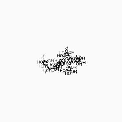 C[C@@H](CC[C@@]1(O)O[C@H]2C[C@H]3[C@@H]4CC[C@@H]5C[C@@H](O[C@@H]6O[C@H](CO[C@@H]7O[C@H](CO)[C@@H](O)[C@H](O)[C@H]7O)[C@@H](O[C@@H]7O[C@@H](C)[C@H](O)[C@@H](O)[C@H]7O)[C@H](O)[C@H]6O[C@@H]6O[C@H](CO)[C@@H](O)[C@H](O)[C@H]6O)CC[C@]5(C)[C@H]4CC[C@]3(C)[C@H]2[C@@H]1C)CO[C@@H]1O[C@H](CO)[C@@H](O)[C@H](O)[C@H]1O